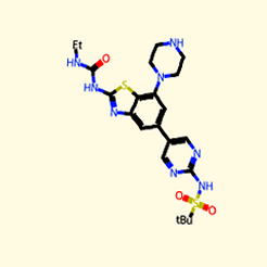 CCNC(=O)Nc1nc2cc(-c3cnc(NS(=O)(=O)C(C)(C)C)nc3)cc(N3CCNCC3)c2s1